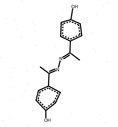 C/C(=N\N=C(/C)c1ccc(O)cc1)c1ccc(O)cc1